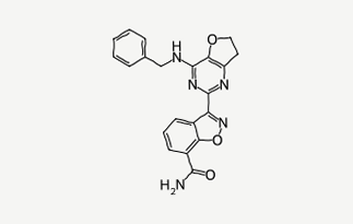 NC(=O)c1cccc2c(-c3nc4c(c(NCc5ccccc5)n3)OCC4)noc12